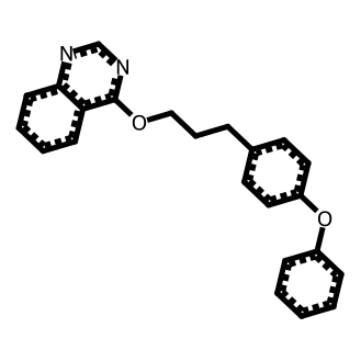 c1ccc(Oc2ccc(CCCOc3ncnc4ccccc34)cc2)cc1